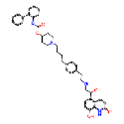 O=C(Nc1ccccc1-c1ccccc1)OC1CCN(CCCCc2ccc(CCNCC(O)c3ccc(O)c4[nH]c(=O)ccc34)cc2)CC1